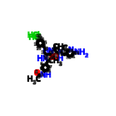 CC(=O)Nc1ccc(C(C)NC(CCc2ccccc2)C(=O)NC(C)C(=O)NCc2ccc(N)nc2C)cc1.Cl.Cl